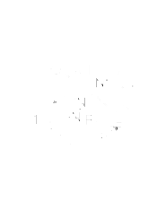 O=C(Cl)c1cc(C(F)(F)F)nn1-c1ncccc1C(F)(F)F